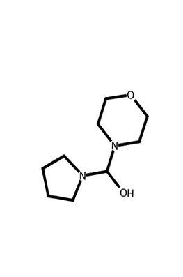 OC(N1CCCC1)N1CCOCC1